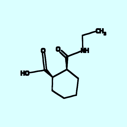 CCNC(=O)[C@H]1CCCC[C@H]1C(=O)O